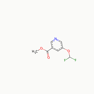 COC(=O)c1cncc(OC(F)F)c1